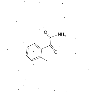 Cc1ccccc1C(=O)C(N)=O